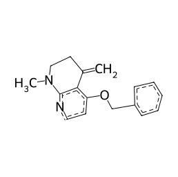 C=C1CCN(C)c2nccc(OCc3ccccc3)c21